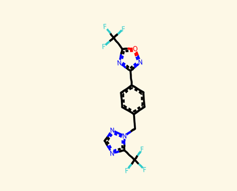 FC(F)(F)c1nc(-c2ccc(Cn3ncnc3C(F)(F)F)cc2)no1